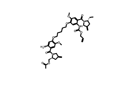 C=CCOC(=O)Nc1cc(OCCCCCOc2cc(N)c(C(=O)N3CC(=C)C[C@H]3COC(C)=O)cc2OC)c(OC)cc1C(=O)N1CC(=C)C[C@H]1CC